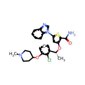 C[C@@H](Oc1cc(-n2cnc3ccccc32)sc1C(N)=O)c1cccc(OC2CCN(C)CC2)c1Cl